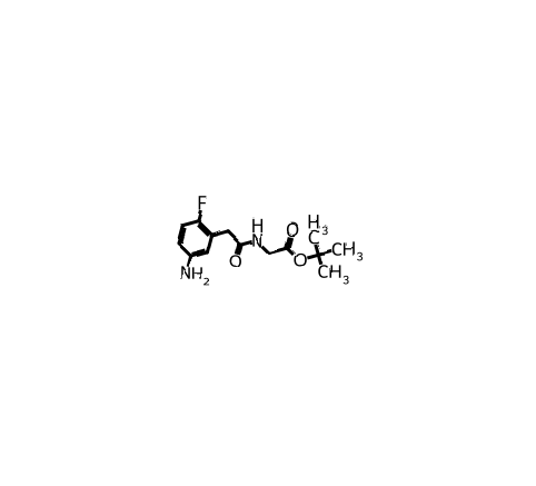 CC(C)(C)OC(=O)CNC(=O)Cc1cc(N)ccc1F